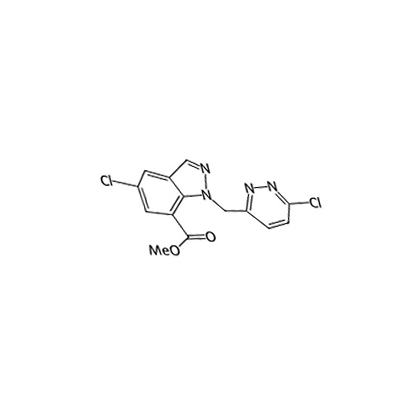 COC(=O)c1cc(Cl)cc2cnn(Cc3ccc(Cl)nn3)c12